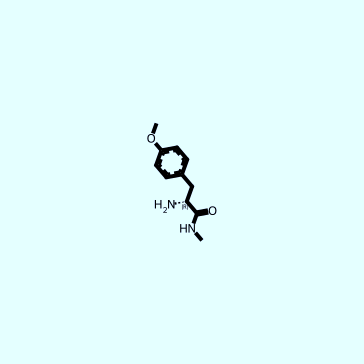 CNC(=O)[C@H](N)Cc1ccc(OC)cc1